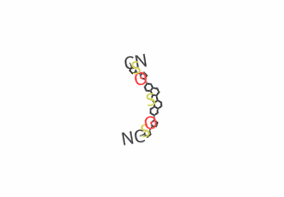 N#Cc1ccc(-c2ccc(-c3ccc4c(ccc5c6ccc7cc(-c8ccc(-c9ccc(C#N)s9)o8)ccc7c6sc45)c3)o2)s1